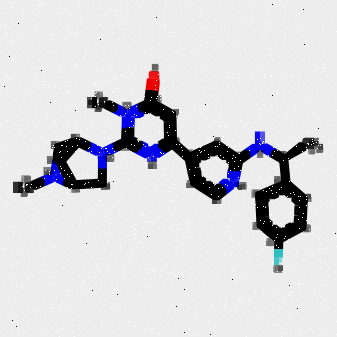 C[C@H](Nc1cc(-c2cc(=O)n(C)c(N3CC4CC3CN4C)n2)ccn1)c1ccc(F)cc1